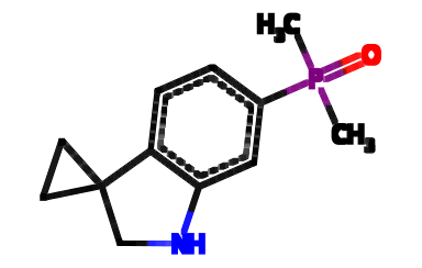 CP(C)(=O)c1ccc2c(c1)NCC21CC1